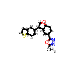 Cc1nnc(-c2ccc3occ(-c4ccc5sccc5c4)c3c2)o1